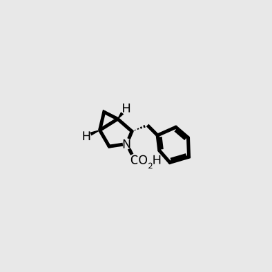 O=C(O)N1C[C@@H]2C[C@@H]2[C@@H]1Cc1ccccc1